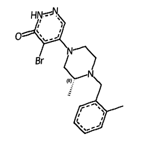 Cc1ccccc1CN1CCN(c2cn[nH]c(=O)c2Br)C[C@H]1C